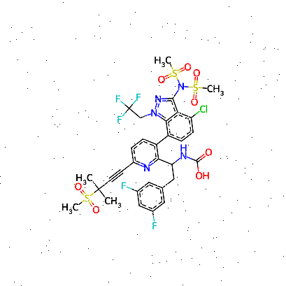 CC(C)(C#Cc1ccc(-c2ccc(Cl)c3c(N(S(C)(=O)=O)S(C)(=O)=O)nn(CC(F)(F)F)c23)c(C(Cc2cc(F)cc(F)c2)NC(=O)O)n1)S(C)(=O)=O